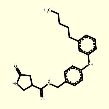 CCCCCc1cccc(Nc2ccc(CNC(=O)C3CNC(=O)C3)cc2)c1